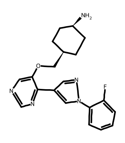 N[C@H]1CC[C@@H](COc2cncnc2-c2cnn(-c3ccccc3F)c2)CC1